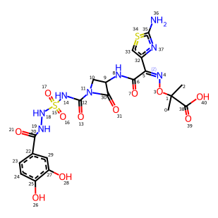 CC(C)(O/N=C(\C(=O)NC1CN(C(=O)NS(=O)(=O)NNC(=O)c2ccc(O)c(O)c2)C1=O)c1csc(N)n1)C(=O)O